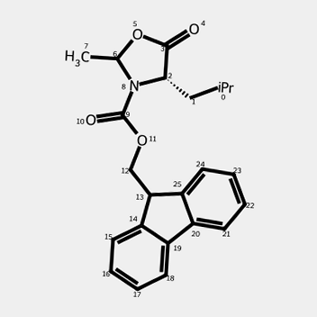 CC(C)C[C@H]1C(=O)OC(C)N1C(=O)OCC1c2ccccc2-c2ccccc21